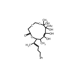 CC(=O)OC1(O)C(O)=C(O)C(C)C(C(C)=CCCC(C)C)OC(=O)CCCCC1(C)O